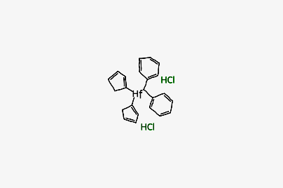 C1=CC[C]([Hf]([C]2=CC=CC2)=[C](c2ccccc2)c2ccccc2)=C1.Cl.Cl